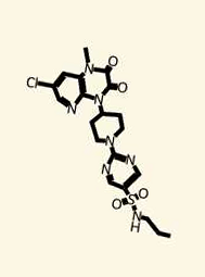 CCCNS(=O)(=O)c1cnc(N2CCC(n3c(=O)c(=O)n(C)c4cc(Cl)cnc43)CC2)nc1